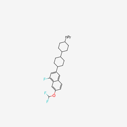 CCCC1CCC(C2CCC(c3cc(F)c4cc(OC(F)F)ccc4c3)CC2)CC1